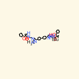 C=N/C(=C\NCCNC(=O)C1(C(O)c2ccccc2)CC1)c1ccc(-c2ccc(-c3c[nH]c(C(NC(=O)C4(C(O)c5ccccc5)CC4)C(C)(C)C)n3)cc2)cc1